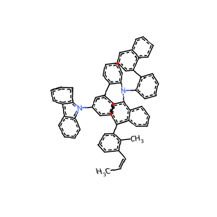 C/C=C\c1cccc(-c2ccc(N(c3ccccc3-c3cccc(-n4c5ccccc5c5ccccc54)c3)c3ccccc3-c3cccc4ccccc34)c3ccccc23)c1C